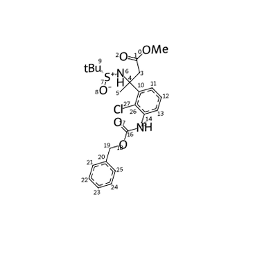 COC(=O)CC(C)(N[S@+]([O-])C(C)(C)C)c1cccc(NC(=O)OCc2ccccc2)c1Cl